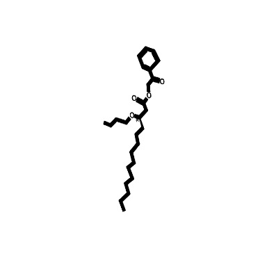 CCCCCCCCCCC[C@H](CC(=O)OCC(=O)c1ccccc1)OCCCC